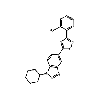 Cc1ccccc1-c1noc(-c2ccc3c(c2)nnn3C2CCCCC2)n1